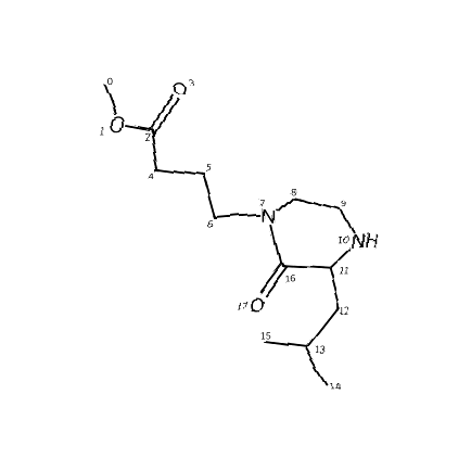 COC(=O)CCCN1CCNC(CC(C)C)C1=O